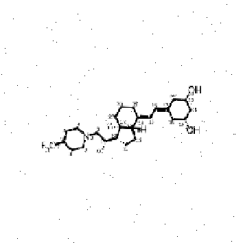 C[C@H](CN1CCC(C(F)(F)F)CC1)[C@H]1CC[C@H]2/C(=C/C=C3C[C@@H](O)C[C@H](O)C3)CCC[C@]12C